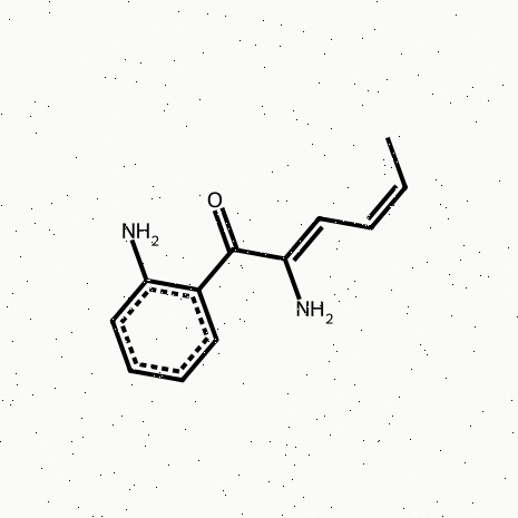 C/C=C\C=C(/N)C(=O)c1ccccc1N